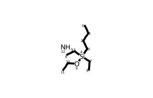 CCCC[Si](CC)(CC)OCC.N